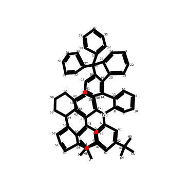 CC(C)(C)c1cc(N(c2ccccc2-c2cccc3c2-c2ccccc2C3(c2ccccc2)c2ccccc2)c2ccccc2-c2cccc3cccc(C4CCCCC4)c23)cc(C(C)(C)C)c1